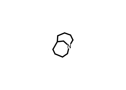 C1CCN2CCCCC(C1)C2